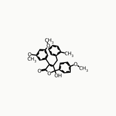 COc1ccc(C2(O)OC(=O)C(c3cc(OC)cc(OC)c3)=C2Cc2ccccc2C)cc1